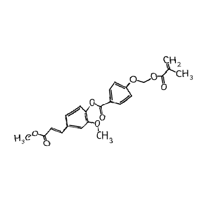 C=C(C)C(=O)OCOc1ccc(C(=O)Oc2ccc(/C=C/C(=O)OC)cc2OC)cc1